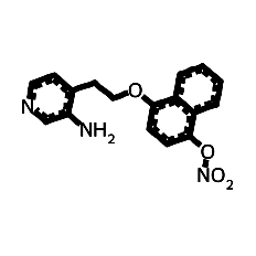 Nc1cnccc1CCOc1ccc(O[N+](=O)[O-])c2ccccc12